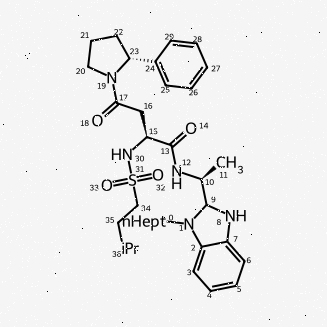 CCCCCCCN1c2ccccc2NC1[C@H](C)NC(=O)[C@H](CC(=O)N1CCC[C@@H]1c1ccccc1)NS(=O)(=O)CCC(C)C